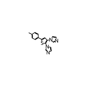 Cc1ccc(-c2cc(-n3ccnc3)c(-n3ccnc3)s2)cc1